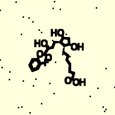 O=C(O)CCCCCC[C@H]1[C@@H](O)CC(O)[C@@H]1CCC(O)C(=O)Oc1ccccc1F